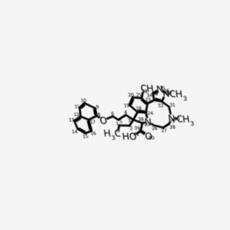 CCCC1(CCCOc2cccc3ccccc23)c2ccc(C)c3c2N(CCCN(C)Cc2c-3cnn2C)C1C(=O)O